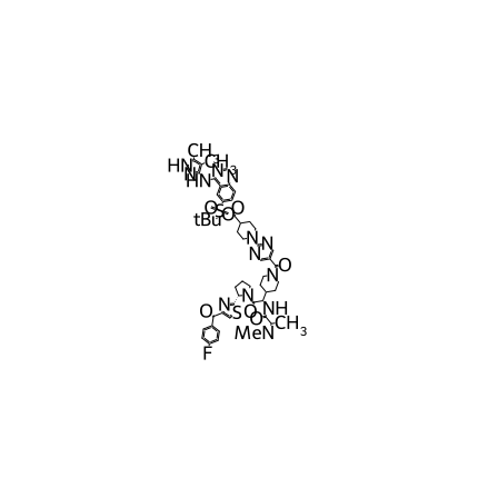 CN[C@@H](C)C(=O)NC(C(=O)N1CCC[C@H]1c1nc(C(=O)c2ccc(F)cc2)cs1)C1CCN(C(=O)c2cnc(N3CCC(COc4cc5ncnc(Nc6n[nH]c(C)c6C)c5cc4S(=O)(=O)C(C)(C)C)CC3)nc2)CC1